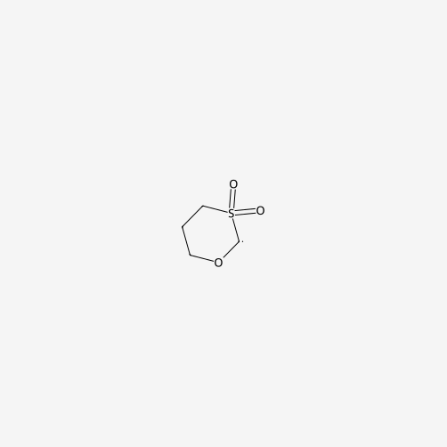 O=S1(=O)[CH]OCCC1